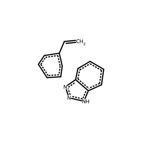 C=Cc1ccccc1.c1ccc2[nH]nnc2c1